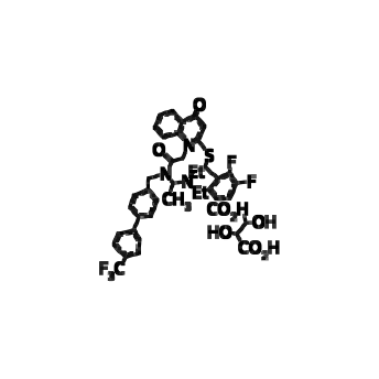 CCN(CC)C(C)N(Cc1ccc(-c2ccc(C(F)(F)F)cc2)cc1)C(=O)Cn1c(SCc2cccc(F)c2F)cc(=O)c2ccccc21.O=C(O)C(O)C(O)C(=O)O